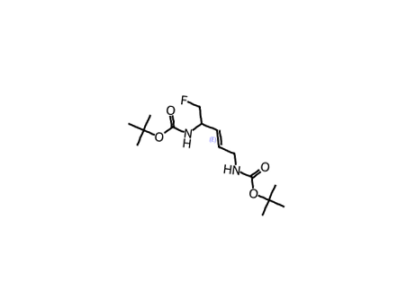 CC(C)(C)OC(=O)NC/C=C/C(CF)NC(=O)OC(C)(C)C